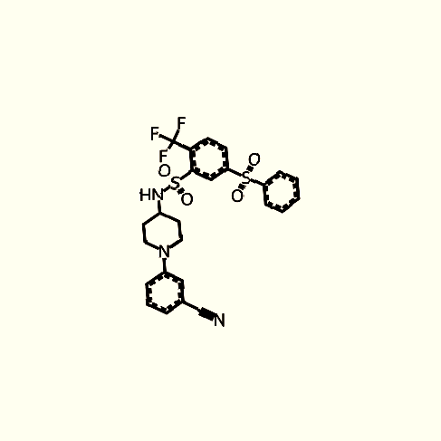 N#Cc1cccc(N2CCC(NS(=O)(=O)c3cc(S(=O)(=O)c4ccccc4)ccc3C(F)(F)F)CC2)c1